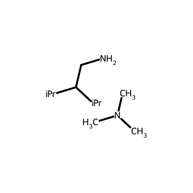 CC(C)C(CN)C(C)C.CN(C)C